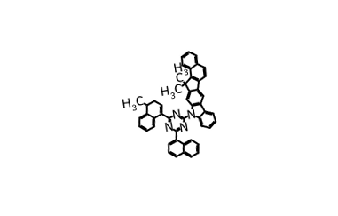 CC1CC=C(c2nc(-c3cccc4ccccc34)nc(-n3c4ccccc4c4cc5c(cc43)C(C)(C)c3c-5ccc4ccccc34)n2)c2ccccc21